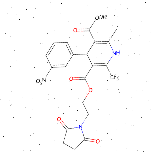 COC(=O)C1=C(C)NC(C(F)(F)F)=C(C(=O)OCCN2C(=O)CCC2=O)C1c1cccc([N+](=O)[O-])c1